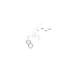 C\C=C/C=C\C=C\[C@H](CC)CN1CC[C@@H](CNC(=O)c2ccc3cc(Cl)ccc3c2)N[C@@H](CCC(C)C)C1=O